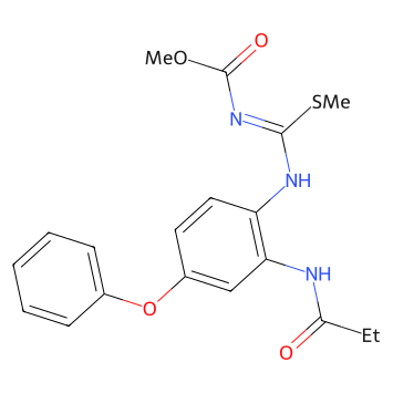 CCC(=O)Nc1cc(Oc2ccccc2)ccc1NC(=NC(=O)OC)SC